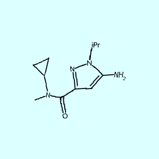 CC(C)n1nc(C(=O)N(C)C2CC2)cc1N